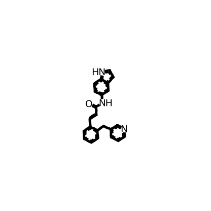 O=C(C=Cc1ccccc1Cc1cccnc1)Nc1ccc2[nH]ccc2c1